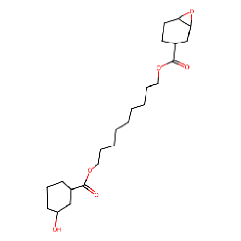 O=C(OCCCCCCCCCOC(=O)C1CCC2OC2C1)C1CCCC(O)C1